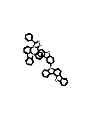 c1ccc(-c2nnc(-c3ccccc3)n2-c2cccc3c4ccccc4n(-c4ccc5oc6ccc(-n7c8ccccc8c8c9oc%10ccccc%10c9ccc87)cc6c5c4)c23)cc1